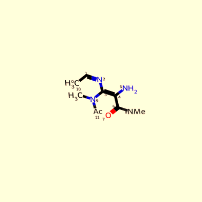 C/C=N\C(=C(/N)C(=O)NC)N(C)C(C)=O